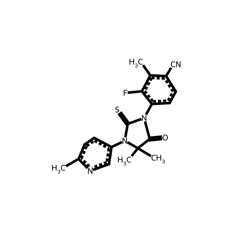 Cc1ccc(N2C(=S)N(c3ccc(C#N)c(C)c3F)C(=O)C2(C)C)cn1